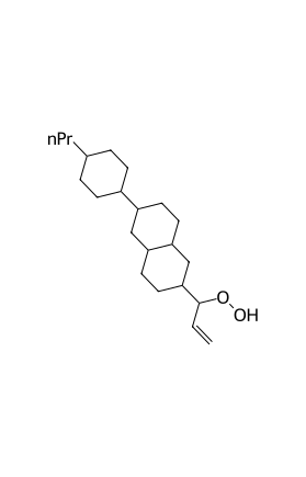 C=CC(OO)C1CCC2CC(C3CCC(CCC)CC3)CCC2C1